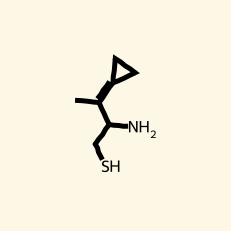 CC(=C1CC1)C(N)CS